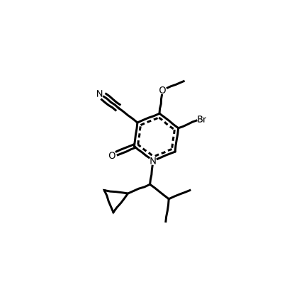 COc1c(Br)cn(C(C(C)C)C2CC2)c(=O)c1C#N